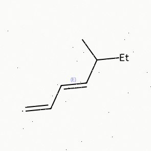 [CH]=C/C=C/C(C)CC